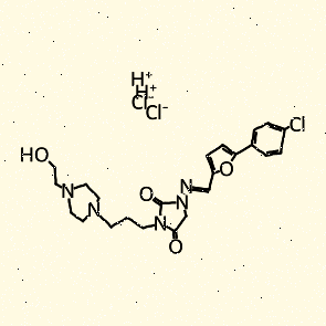 O=C1CN(/N=C/c2ccc(-c3ccc(Cl)cc3)o2)C(=O)N1CCCN1CCN(CCO)CC1.[Cl-].[Cl-].[H+].[H+]